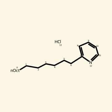 CCCCCCCCCCCCCCc1ccccn1.Cl